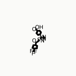 O=C(O)c1ccc(-n2nnnc2SCC(=O)c2ccc(C(F)(F)F)cc2)cc1